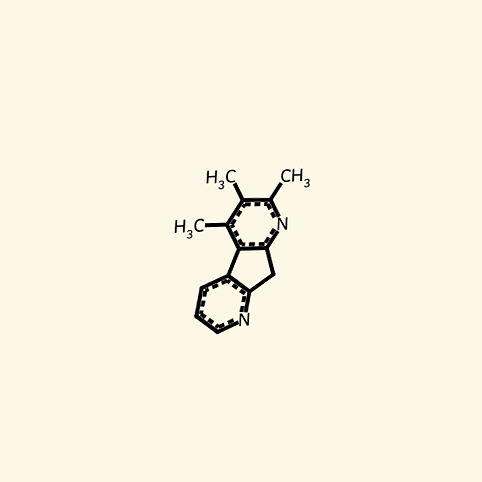 Cc1nc2c(c(C)c1C)-c1cccnc1C2